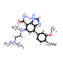 COc1ccc(-c2cc(N(C)CCN(C)C)c(C(N)=O)c3[nH]cnc23)cc1OC(F)(F)F